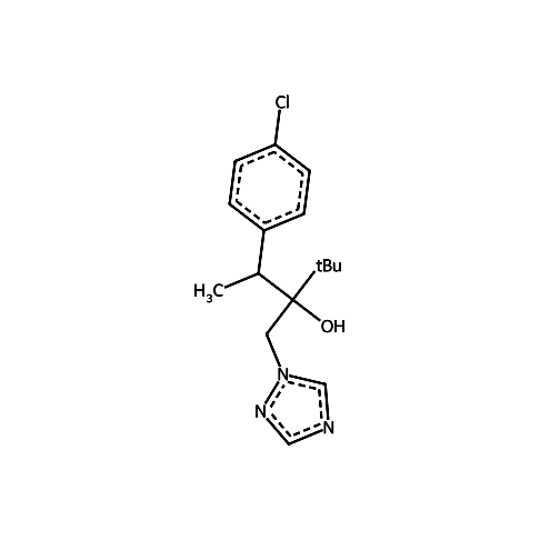 CC(c1ccc(Cl)cc1)C(O)(Cn1cncn1)C(C)(C)C